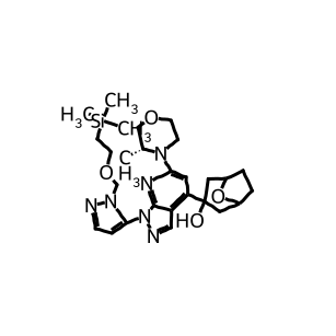 C[C@@H]1COCCN1c1cc(C2(O)CC3CCC(C2)O3)c2cnn(-c3ccnn3COCC[Si](C)(C)C)c2n1